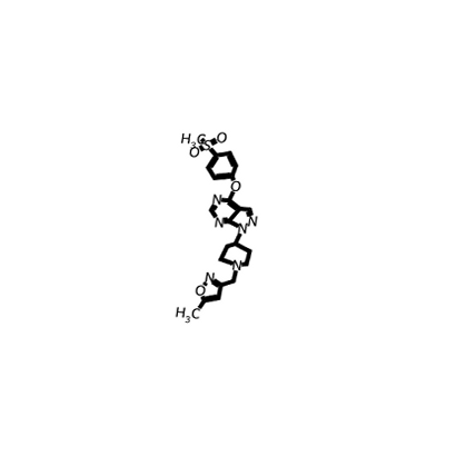 Cc1cc(CN2CCC(n3ncc4c(Oc5ccc(S(C)(=O)=O)cc5)ncnc43)CC2)no1